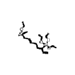 C=CC(CC/C=C/C[Si](C)(C)OCC)[Si](OCC)(OCC)OCC